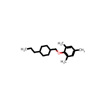 CCCC1CCC(COc2c(C)cc(C)cc2C)CC1